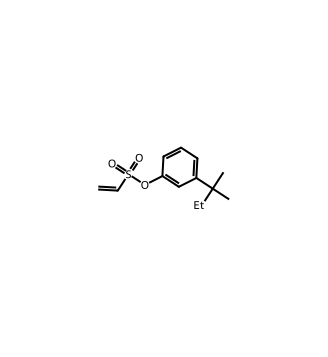 C=CS(=O)(=O)Oc1cccc(C(C)(C)CC)c1